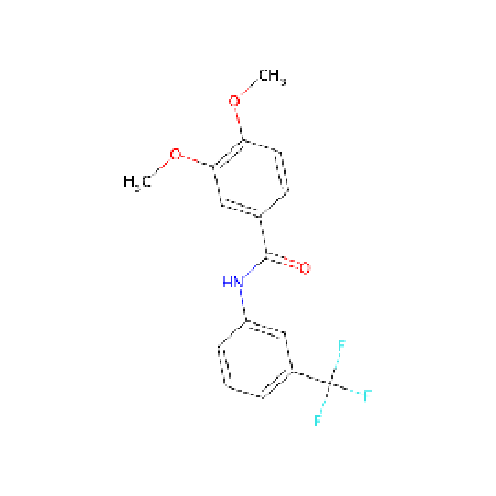 COc1ccc(C(=O)Nc2cccc(C(F)(F)F)c2)cc1OC